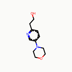 OCCc1ccc(N2CCOCC2)cn1